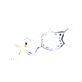 CS(C)(=O)=Nc1cnc(Cl)cn1